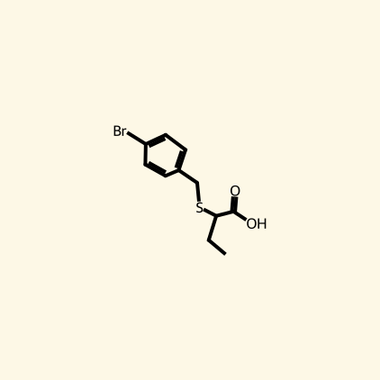 CCC(SCc1ccc(Br)cc1)C(=O)O